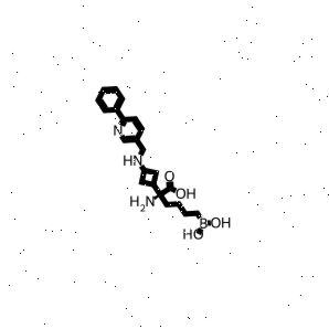 N[C@](CCCCB(O)O)(C(=O)O)C1CC(NCc2ccc(-c3ccccc3)nc2)C1